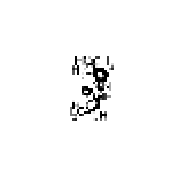 CCC(C)(C)CC(=O)Nc1nc2ccc(C(C)(C)O)cc2n1C1CCC1